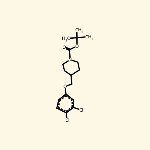 CC(C)(C)OC(=O)N1CCC(COc2ccc(Cl)c(Cl)c2)CC1